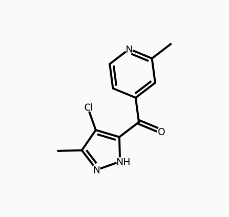 Cc1cc(C(=O)c2[nH]nc(C)c2Cl)ccn1